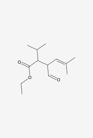 CCOC(=O)C(C(C)C)C(C=O)C=C(C)C